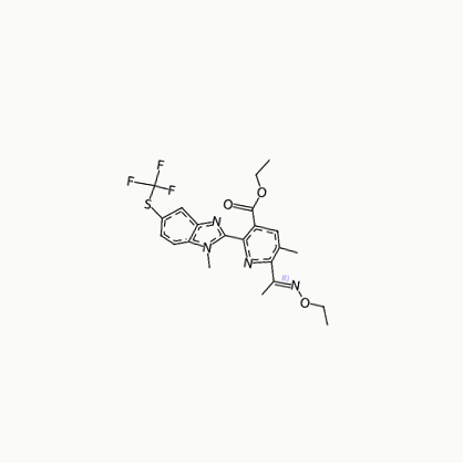 CCO/N=C(\C)c1nc(-c2nc3cc(SC(F)(F)F)ccc3n2C)c(C(=O)OCC)cc1C